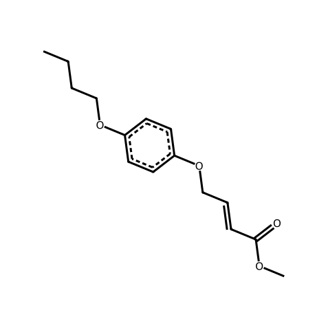 CCCCOc1ccc(OC/C=C/C(=O)OC)cc1